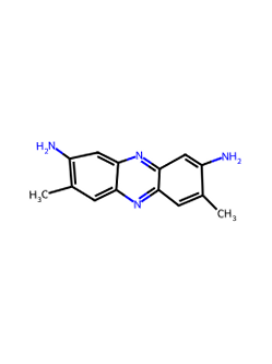 Cc1cc2nc3cc(C)c(N)cc3nc2cc1N